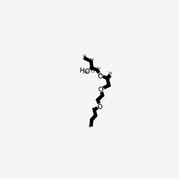 CCCCOCCOCC(C)OCC(O)CC